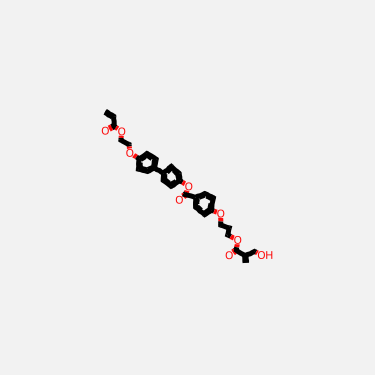 C=CC(=O)OCCOc1ccc(-c2ccc(OC(=O)c3ccc(OCCCOC(=O)C(=C)CO)cc3)cc2)cc1